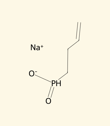 C=CCC[PH](=O)[O-].[Na+]